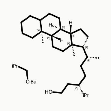 CC(C)COCC(C)C.CC(C)[C@H](CCO)CC[C@@H](C)[C@H]1CC[C@H]2[C@@H]3CCC4CCCC[C@]4(C)[C@H]3CC[C@]12C